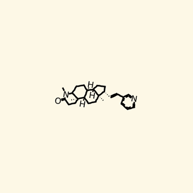 CN1C(=O)CC[C@@]2(C)C1CC[C@H]1[C@@H]3CC[C@H](C=Cc4cccnc4)[C@@]3(C)CC[C@@H]12